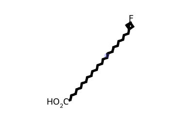 O=C(O)CCCCCCCCCCCCCC/C=C/CCCCCCCC12CC(F)(C1)C2